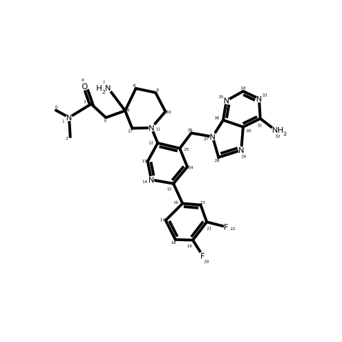 CN(C)C(=O)CC1(N)CCCN(c2cnc(-c3ccc(F)c(F)c3)cc2Cn2cnc3c(N)ncnc32)C1